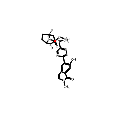 CN(c1cnc(-c2cc3ccn(C)c(=O)c3cc2O)nn1)[C@H]1C[C@@H]2CCC([C@H]1F)N2C(=O)OC(C)(C)C